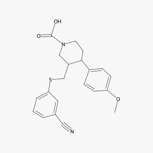 COc1ccc(C2CCN(C(=O)O)CC2CSc2cccc(C#N)c2)cc1